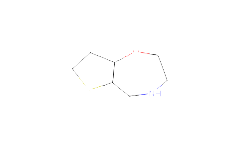 C1COC2CCSC2CN1